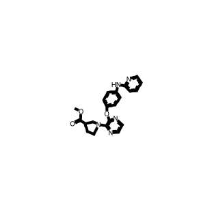 COC(=O)C1CCN(c2nccnc2Oc2ccc(Nc3ccccn3)cc2)C1